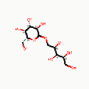 OC[C@H](O)[C@@H](O)[C@H](O)COC1O[C@H](CO)[C@@H](O)[C@H](O)[C@H]1O